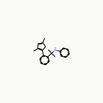 CC1=CC(C)=C(c2ccccc2C(C)(C)Nc2ccccc2)C1